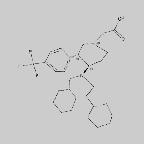 O=C(O)C[C@@H]1CC[C@@H](N(CCC2CCCCC2)CC2CCCCC2)[C@H](c2ccc(C(F)(F)F)cc2)C1